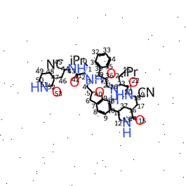 CC(C)C[C@H](NCC1Cc2ccc(C3CNC(=O)[C@H](C[C@@H](C#N)NC(=O)[C@H](CC(C)C)NCC4Cc5ccccc5O4)C3)cc2O1)C(=O)N[C@H](C#N)C[C@@H]1CCCNC1=O